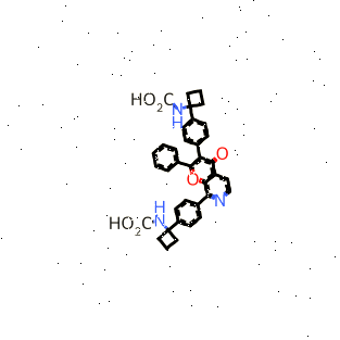 O=C(O)NC1(c2ccc(-c3c(-c4ccccc4)oc4c(-c5ccc(C6(NC(=O)O)CCC6)cc5)nccc4c3=O)cc2)CCC1